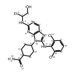 CCC(CO)Nc1ncc2nc(Nc3c(Cl)cccc3Cl)n(C3CCC(C(N)=O)CC3)c2n1